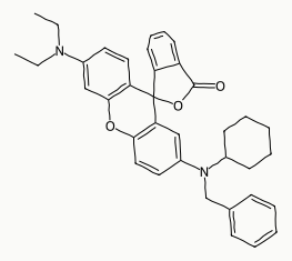 CCN(CC)c1ccc2c(c1)Oc1ccc(N(Cc3ccccc3)C3CCCCC3)cc1C21OC(=O)c2ccccc21